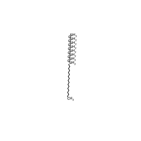 CCCCCCCCCCCCCCCCCC[SiH2]O[SiH2]O[SiH2]O[SiH2]O[SiH2]O[SiH2]O[SiH2]O[SiH3]